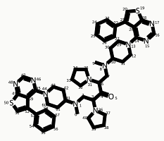 CN(CC(C(=O)C(CN(C)C1CCN(c2ncnc3scc(-c4ccccc4)c23)CC1)N1CCCC1)N1CCCC1)C1CCN(c2ncnc3scc(-c4ccccc4)c23)CC1